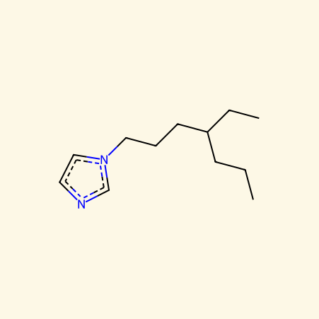 CCCC(CC)CCCn1ccnc1